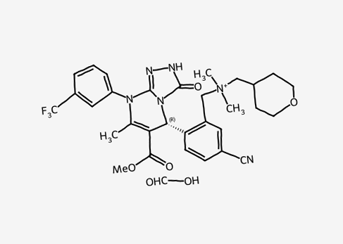 COC(=O)C1=C(C)N(c2cccc(C(F)(F)F)c2)c2n[nH]c(=O)n2[C@@H]1c1ccc(C#N)cc1C[N+](C)(C)CC1CCOCC1.O=CO